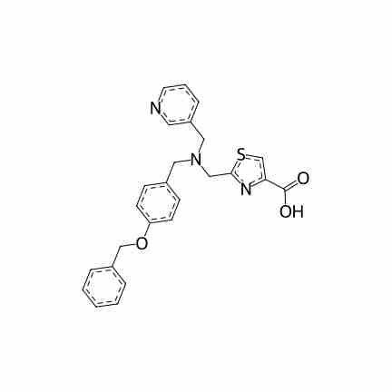 O=C(O)c1csc(CN(Cc2ccc(OCc3ccccc3)cc2)Cc2cccnc2)n1